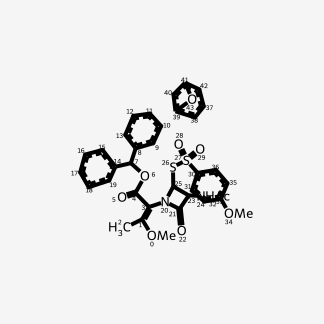 COC(C)=C(C(=O)OC(c1ccccc1)c1ccccc1)N1C(=O)C(NC(C)=O)C1SS(=O)(=O)c1ccc(OC)cc1.c1cc2cc(c1)O2